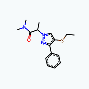 CCSc1cn(C(C)C(=O)N(C)C)nc1-c1ccccc1